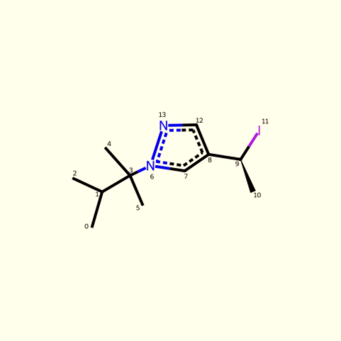 CC(C)C(C)(C)n1cc([C@H](C)I)cn1